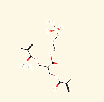 C=C(C)C(=O)OCC(COC(=O)C(=C)C)C(=O)OCCCS(=O)(=O)O.[MgH2]